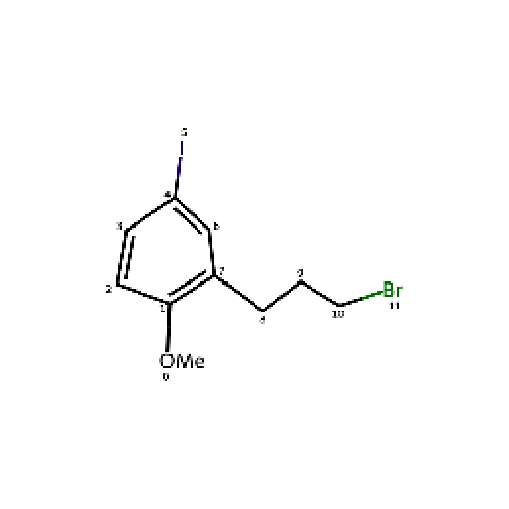 COc1ccc(I)cc1CCCBr